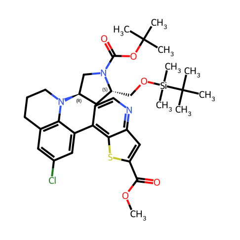 COC(=O)c1cc2nccc(-c3cc(Cl)cc4c3N([C@@H]3C[C@@H](CO[Si](C)(C)C(C)(C)C)N(C(=O)OC(C)(C)C)C3)CCC4)c2s1